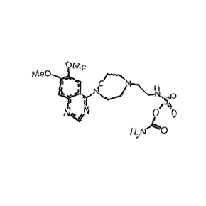 COc1cc2ncnc(N3CCCN(CCNS(=O)(=O)OC(N)=O)CC3)c2cc1OC